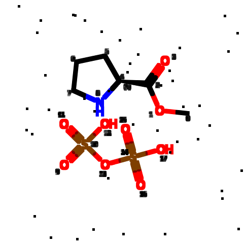 COC(=O)[C@@H]1CCCN1.O=S(=O)(O)OS(=O)(=O)O